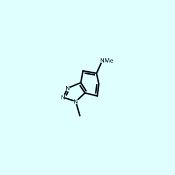 CNc1ccc2c(c1)nnn2C